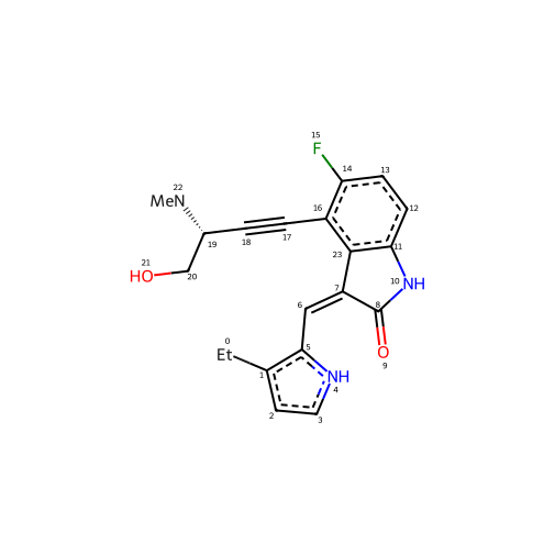 CCc1cc[nH]c1/C=C1\C(=O)Nc2ccc(F)c(C#C[C@H](CO)NC)c21